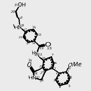 COc1ccccc1-c1ccc(NC(=O)c2ccc(NCCO)cc2)c2c1CNC2=O